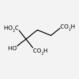 O=C(O)CCC(O)(C(=O)O)C(=O)O